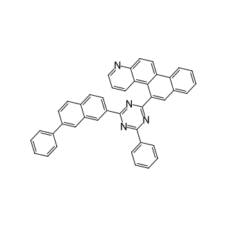 c1ccc(-c2ccc3ccc(-c4nc(-c5ccccc5)nc(-c5cc6ccccc6c6ccc7ncccc7c56)n4)cc3c2)cc1